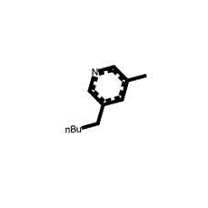 CCCCCc1cncc(C)c1